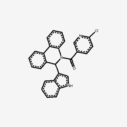 O=C(c1ccc(Cl)nc1)N1c2ccccc2-c2ccccc2C1c1c[nH]c2ccccc12